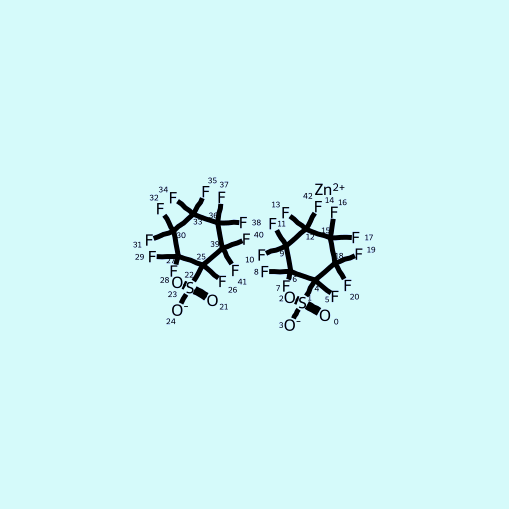 O=S(=O)([O-])C1(F)C(F)(F)C(F)(F)C(F)(F)C(F)(F)C1(F)F.O=S(=O)([O-])C1(F)C(F)(F)C(F)(F)C(F)(F)C(F)(F)C1(F)F.[Zn+2]